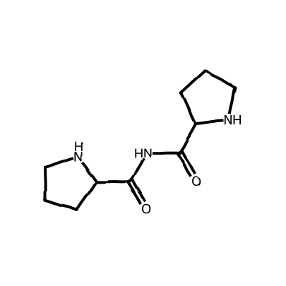 O=C(NC(=O)C1CCCN1)C1CCCN1